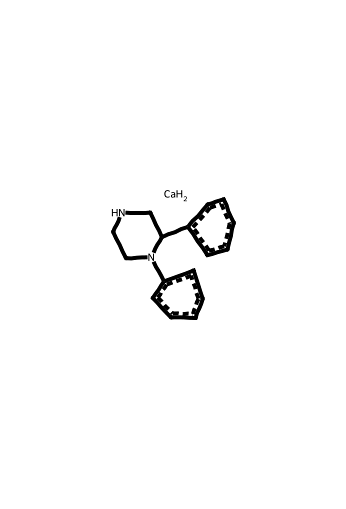 [CaH2].c1ccc(C2CNCCN2c2ccccc2)cc1